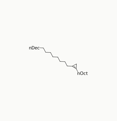 CCCCCCCCCCCCCCCCCCC1=C(CCCCCCCC)C1